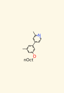 CCCCCCCCOc1cc(C)cc(-c2ccnc(C)c2)c1